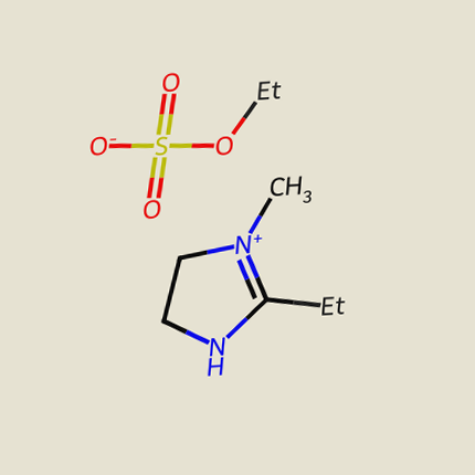 CCC1=[N+](C)CCN1.CCOS(=O)(=O)[O-]